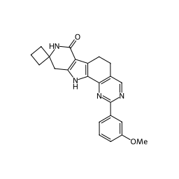 COc1cccc(-c2ncc3c(n2)-c2[nH]c4c(c2CC3)C(=O)NC2(CCC2)C4)c1